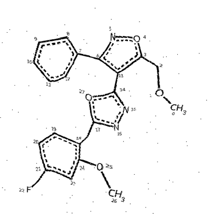 COCc1onc(-c2ccccc2)c1-c1nnc(-c2ccc(F)cc2OC)o1